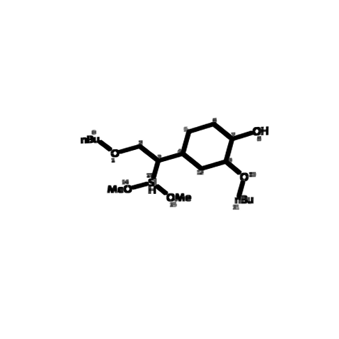 CCCCOCC(C1CCC(O)C(OCCCC)C1)[SiH](OC)OC